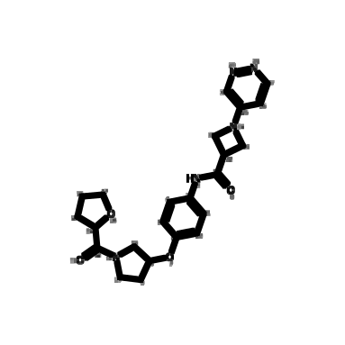 O=C(Nc1ccc(OC2CCN(C(=O)C3CCCO3)C2)cc1)C1CN(c2ccnnc2)C1